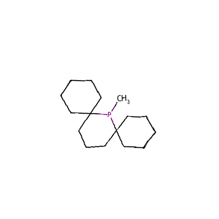 CP1C2(CCCCC2)CCCC12CCCCC2